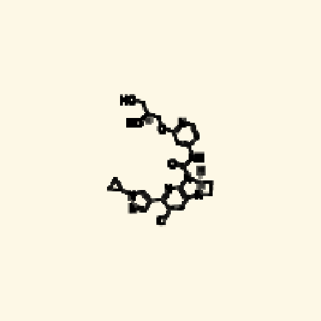 O=C(Nc1ccnc(OC[C@@H](O)CO)c1)N1c2nc(-c3cnn(C4CC4)c3)c(Cl)cc2N2CC[C@@H]21